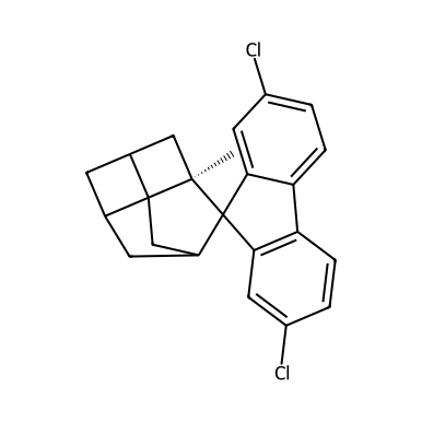 C[C@@]12CC3CC4CC(CC431)C21c2cc(Cl)ccc2-c2ccc(Cl)cc21